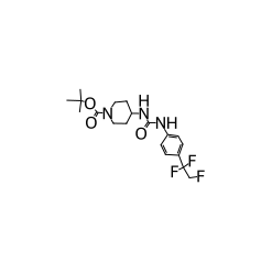 CC(C)(C)OC(=O)N1CCC(NC(=O)Nc2ccc(C(F)(F)CF)cc2)CC1